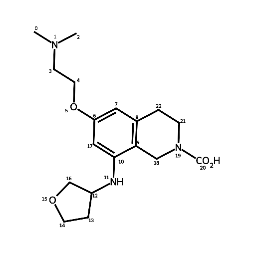 CN(C)CCOc1cc2c(c(NC3CCOC3)c1)CN(C(=O)O)CC2